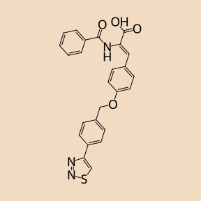 O=C(O)/C(=C/c1ccc(OCc2ccc(-c3csnn3)cc2)cc1)NC(=O)c1ccccc1